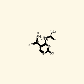 C[C@@H](Nc1nc(Cl)ncc1C(N)=O)C(C)(C)C